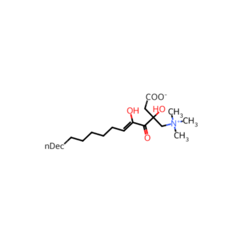 CCCCCCCCCCCCCCCC=C(O)C(=O)C(O)(CC(=O)[O-])C[N+](C)(C)C